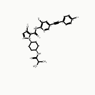 CC(C)C(=O)N[C@H]1CC[C@@H](n2ncc(Cl)c2C(=O)Nc2ncc(C#Cc3ccc(F)cc3)cc2F)CC1